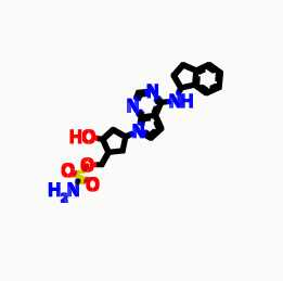 NS(=O)(=O)OCC1CC(n2ccc3c(NC4CCc5ccccc54)ncnc32)CC1O